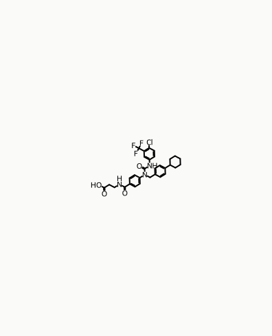 O=C(O)CCNC(=O)c1ccc(N(Cc2ccc(C3CCCCC3)cc2)C(=O)Nc2ccc(Cl)c(C(F)(F)F)c2)cc1